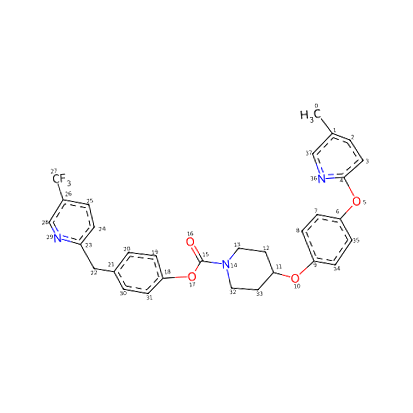 Cc1ccc(Oc2ccc(OC3CCN(C(=O)Oc4ccc(Cc5ccc(C(F)(F)F)cn5)cc4)CC3)cc2)nc1